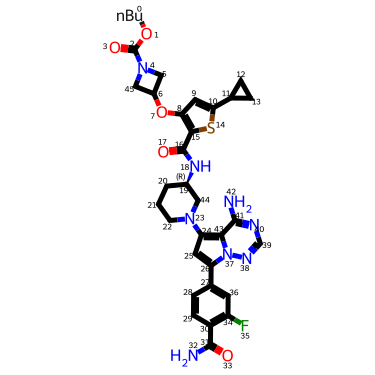 CCCCOC(=O)N1CC(Oc2cc(C3CC3)sc2C(=O)N[C@@H]2CCCN(c3cc(-c4ccc(C(N)=O)c(F)c4)n4ncnc(N)c34)C2)C1